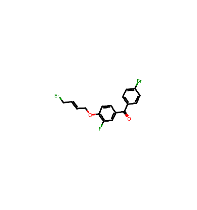 O=C(c1ccc(Br)cc1)c1ccc(OCC=CCBr)c(F)c1